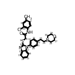 Cc1ccc(NC(=O)CSc2nc3ccccc3n2-c2ccc(CCN3CCOCC3)cc2)c(Cl)c1